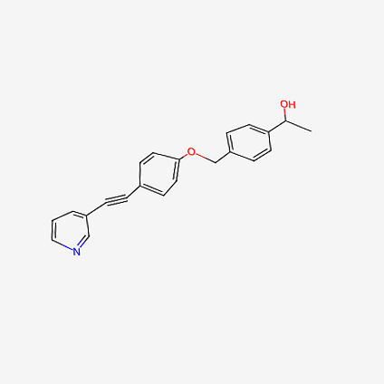 CC(O)c1ccc(COc2ccc(C#Cc3cccnc3)cc2)cc1